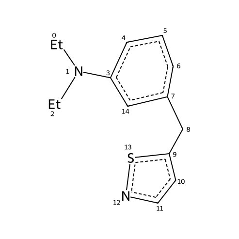 CCN(CC)c1cccc(Cc2ccns2)c1